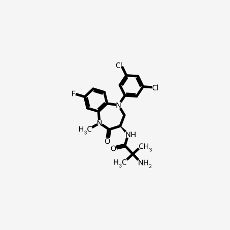 CN1C(=O)[C@H](NC(=O)C(C)(C)N)CN(c2cc(Cl)cc(Cl)c2)c2ccc(F)cc21